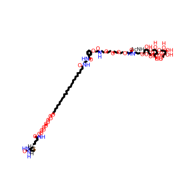 CC(=O)NC1C(O)[C@H](O[C@@H]2OC(CO)[C@H](O)C(O[C@H]3OC(CO)[C@H](O)C(O)C3O)C2O)C(CO)O[C@H]1OCCCNC(=O)CCOCCOCCOCCOCCNC(=O)COc1cccc(C(=O)NCCNC(=O)CCCCCCCCCCCCCCCCCCCCCCCCCCOOOOOOOOOOOONC(=O)CCCC[C@@H]2SC[C@@H]3NC(=O)N[C@@H]32)c1